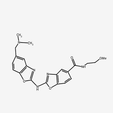 COCCNC(=O)c1ccc2oc(Nc3nc4cc(CN(C)C)ccc4o3)nc2c1